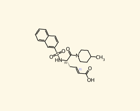 CC1CCN(C(=O)[C@H](C/C=C/C(=O)O)NS(=O)(=O)c2ccc3ccccc3c2)CC1